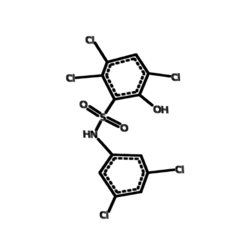 O=S(=O)(Nc1cc(Cl)cc(Cl)c1)c1c(O)c(Cl)cc(Cl)c1Cl